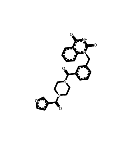 O=C(c1ccoc1)N1CCN(C(=O)c2cccc(Cn3c(=O)[nH]c(=O)c4ccccc43)c2)CC1